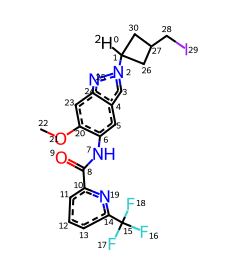 [2H]C1(n2cc3cc(NC(=O)c4cccc(C(F)(F)F)n4)c(OC)cc3n2)CC(CI)C1